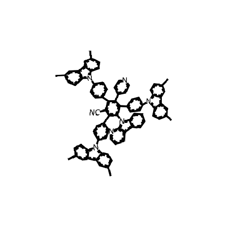 Cc1ccc2c(c1)c1cc(C)ccc1n2-c1ccc(-c2c(C#N)c(-c3ccc(-n4c5ccc(C)cc5c5cc(C)ccc54)cc3)c(-n3c4ccccc4c4cccnc43)c(-c3ccc(-n4c5ccc(C)cc5c5cc(C)ccc54)cc3)c2-c2ccncc2)cc1